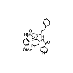 COc1ccc(NS(=O)(=O)CN(CCCc2ccccc2)C(=O)[C@H](CC(C)C)NC(=O)c2ccncc2)cc1